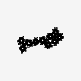 c1ccc(N(c2ccccc2)c2ccc(-c3ccc(-c4ccc5c(c4)c4ccccc4n5-c4ccc5c(c4)C(c4ccccc4)(c4ccccc4)c4ccccc4-5)cc3)cc2)cc1